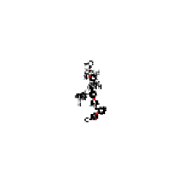 C[C@@H]1CN(c2ccc(C(=O)NS(=O)(=O)c3cc(F)c(NC[C@H]4COCCO4)c([N+](=O)[O-])c3)c(Oc3cnc4[nH]ccc4c3)c2)CCN1CC1=C(c2ccc(Cl)cc2)CC(C)(C)C(C)(C)C1